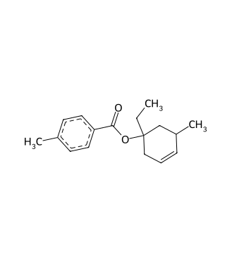 CCC1(OC(=O)c2ccc(C)cc2)CC=CC(C)C1